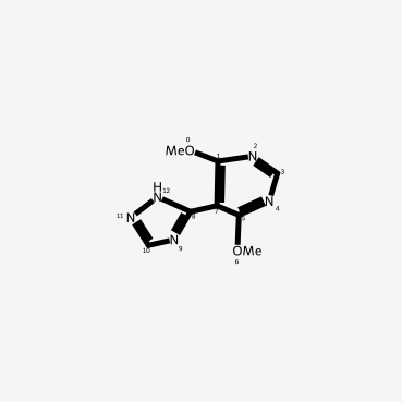 COc1ncnc(OC)c1-c1ncn[nH]1